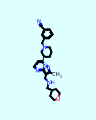 Cc1nn2c([C@@H]3CCCN(Cc4cccc(C#N)c4)C3)ccnc2c1CNCC1CCOCC1